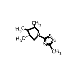 Cc1nsc(N2C[C@H](C)C(C)[C@@H](C)C2)n1